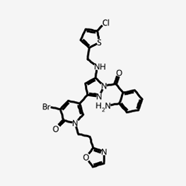 Nc1ccccc1C(=O)n1nc(-c2cc(Br)c(=O)n(CCc3ncco3)c2)cc1NCc1ccc(Cl)s1